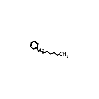 CCCCC[CH2][Mg][c]1ccccc1